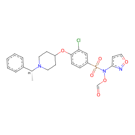 C[C@H](c1ccccc1)N1CCC(Oc2ccc(S(=O)(=O)N(OC=O)c3ccon3)cc2Cl)CC1